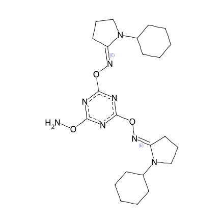 NOc1nc(O/N=C2\CCCN2C2CCCCC2)nc(O/N=C2\CCCN2C2CCCCC2)n1